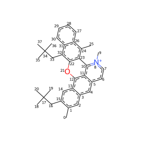 Cc1cc2cc3cc[n+](C)c4c3c(c2cc1CC(C)(C)C)Oc1c-4c(C)c2ccccc2c1CC(C)(C)C